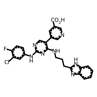 O=C(O)c1cncc(-c2cnc(Nc3ccc(F)c(Cl)c3)nc2NCCCc2nc3ccccc3[nH]2)c1